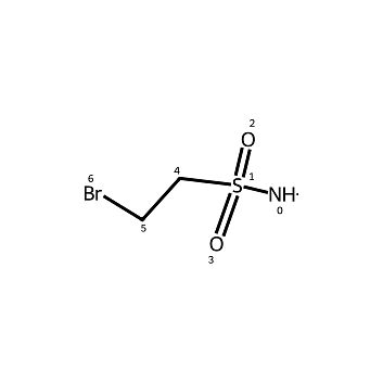 [NH]S(=O)(=O)CCBr